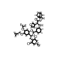 O=C(O[C@@H](Cc1c(Cl)c[n+]([O-])cc1Cl)c1ccc(OC(F)F)c(OCC2CC2)c1)c1cccc(NC(C(=O)O[C@H]2CN3CCC2CC3)c2ccoc2)c1